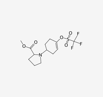 COC(=O)C1CCCN1C1CC=C(OS(=O)(=O)C(F)(F)F)CC1